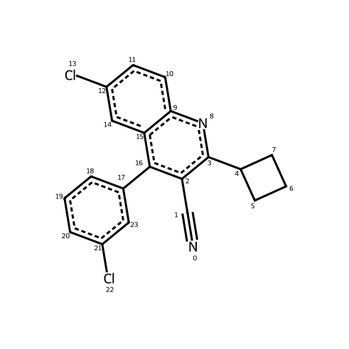 N#Cc1c(C2CCC2)nc2ccc(Cl)cc2c1-c1cccc(Cl)c1